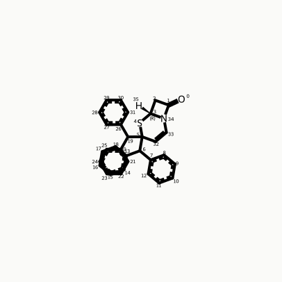 O=C1C[C@H]2SC(C(c3ccccc3)c3ccccc3)(C(c3ccccc3)c3ccccc3)C=CN12